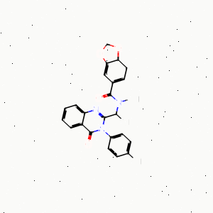 Cc1ccc(-n2c(C(C)N(C)C(=O)C3=CCC4OCOC4=C3)nc3ccccc3c2=O)cc1